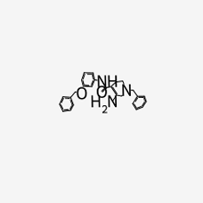 NC1=C(C(=O)Nc2cccc(OCc3ccccc3)c2)CCN(Cc2ccccc2)C1